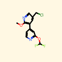 COc1ncc(CCl)cc1-c1ccnc(OC(F)F)c1